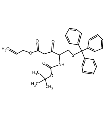 C=CCOC(=O)CC(=O)C(CSC(c1ccccc1)(c1ccccc1)c1ccccc1)NC(=O)OC(C)(C)C